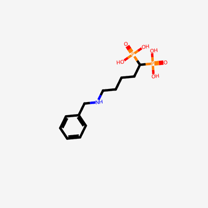 O=P(O)(O)C(CCCCNCc1ccccc1)P(=O)(O)O